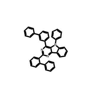 c1ccc(-c2cccc(-c3nc(-c4ccccc4-c4ccccc4)nc4c5ccccc5n(-c5ccccc5)c34)c2)cc1